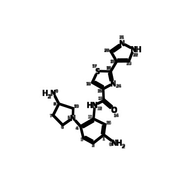 Nc1ccc(N2CCC(N)C2)c(NC(=O)c2csc(-c3cn[nH]c3)n2)c1